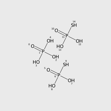 O=P(O)(O)O.O=P(O)(O)S.O=P(O)(O)S